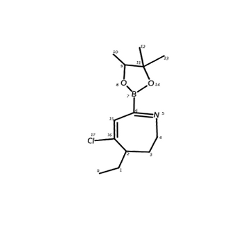 CCC1CCN=C(B2OC(C)C(C)(C)O2)C=C1Cl